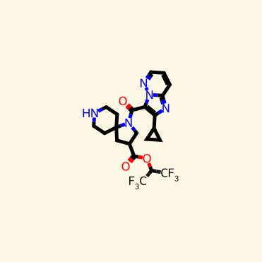 O=C(OC(C(F)(F)F)C(F)(F)F)C1CN(C(=O)c2c(C3CC3)nc3cccnn23)C2(CCNCC2)C1